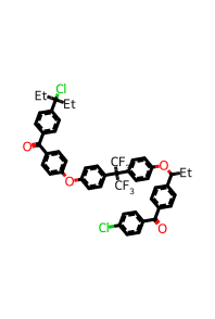 CCC(Oc1ccc(C(c2ccc(Oc3ccc(C(=O)c4ccc(C(Cl)(CC)CC)cc4)cc3)cc2)(C(F)(F)F)C(F)(F)F)cc1)c1ccc(C(=O)c2ccc(Cl)cc2)cc1